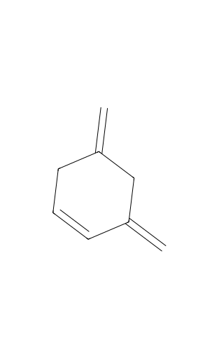 C=C1C=CCC(=C)C1